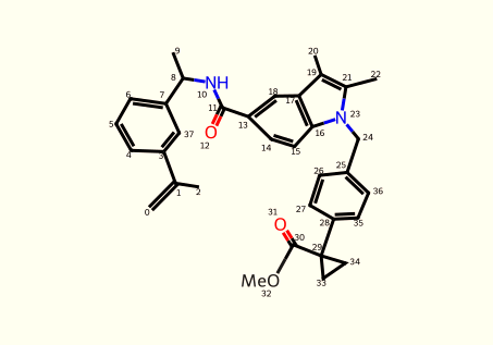 C=C(C)c1cccc(C(C)NC(=O)c2ccc3c(c2)c(C)c(C)n3Cc2ccc(C3(C(=O)OC)CC3)cc2)c1